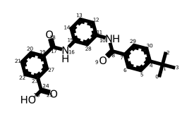 CC(C)(C)c1ccc(C(=O)Nc2cccc(NC(=O)c3cccc(C(=O)O)c3)c2)cc1